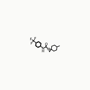 CC1CCC2(CC1)CN2C(=O)Nc1ccc(C(F)(F)F)cc1